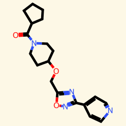 O=C(C1CCCC1)N1CCC(OCc2nc(-c3ccncc3)no2)CC1